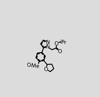 COc1ccc(-c2ccnn2CC(=O)OC(C)C)cc1C1CCCO1